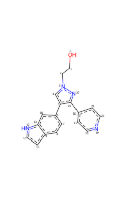 OCCn1cc(-c2ccc3cc[nH]c3c2)c(-c2ccncc2)n1